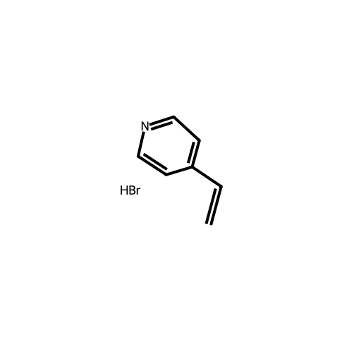 Br.C=Cc1ccncc1